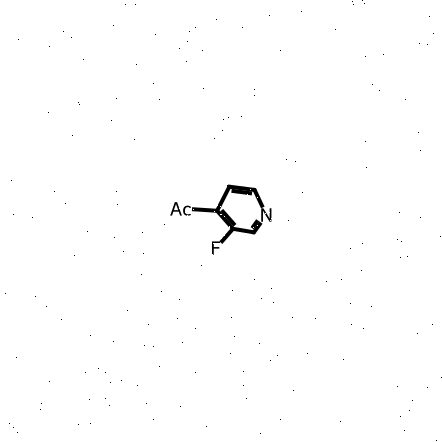 CC(=O)c1ccncc1F